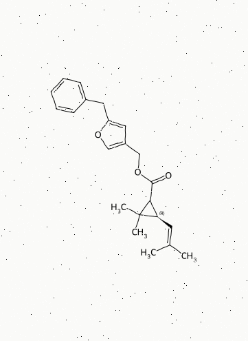 CC(C)=C[C@@H]1C(C(=O)OCc2coc(Cc3ccccc3)c2)C1(C)C